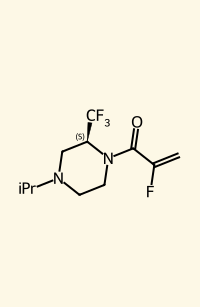 C=C(F)C(=O)N1CCN(C(C)C)C[C@H]1C(F)(F)F